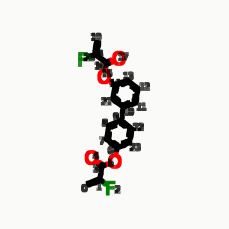 C=C(F)C(=O)Oc1ccc(-c2cccc(OC(=O)C(=C)F)c2)cc1